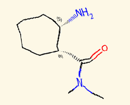 CN(C)C(=O)[C@@H]1CCCC[C@@H]1N